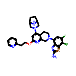 Nc1nc2c(N3CCc4c(N5CC6CCC(C5)N6)cc(OCCc5ccccn5)nc4C3)cc(F)c(F)c2s1